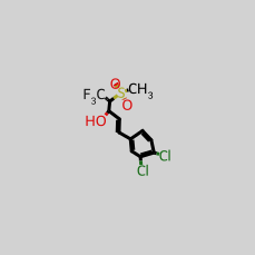 CS(=O)(=O)C(C(O)/C=C/c1ccc(Cl)c(Cl)c1)C(F)(F)F